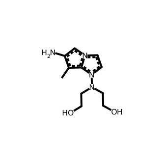 Cc1c(N)cn2ccn(N(CCO)CCO)c12